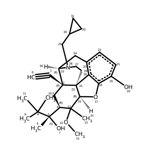 C#C[C@]12C[C@H]([C@](C)(O)C(C)(C)C)C(C)(OC)[C@@H]3Oc4c(O)ccc5c4[C@@]31CCN(CC1CC1)[C@@H]2C5